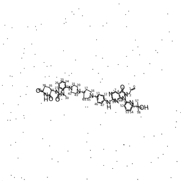 C=CCn1c(=O)c2cnc(Nc3ccc(N4CCC(N5CCN(c6cccc7c6n(C)c(=O)n7C6CCC(=O)NC6=O)CC5)CC4)cc3)nc2n1-c1cccc(C(C)(C)O)n1